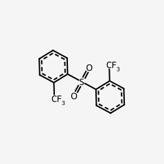 O=S(=O)(c1ccccc1C(F)(F)F)c1ccccc1C(F)(F)F